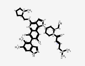 Cc1cc2[nH]ncc2c(-c2c(Cl)cc3c(nc(OCC4CCCN4C)c4cnn([C@H]5CCN(C(=O)/C=C/CN(C)C)[C@H](CC#N)C5)c43)c2F)c1C